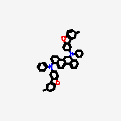 Cc1ccc2oc3ccc(N(c4ccccc4)c4cc5c6cccc(N(c7ccccc7)c7ccc8oc9ccc(C)cc9c8c7)c6ccc5c5ccccc45)cc3c2c1